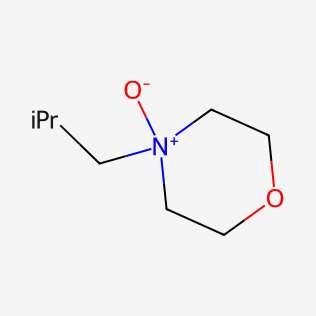 CC(C)C[N+]1([O-])CCOCC1